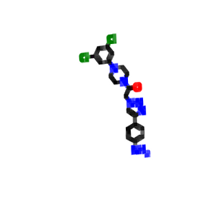 Nc1ccc(-c2cn(CC(=O)N3CCN(c4cc(Cl)cc(Cl)c4)CC3)nn2)cc1